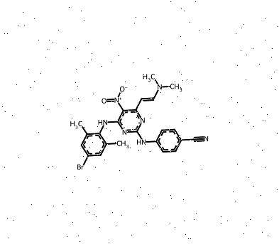 Cc1cc(Br)cc(C)c1Nc1nc(Nc2ccc(C#N)cc2)nc(C=CN(C)C)c1[N+](=O)[O-]